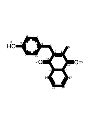 CC1=C(Cc2ccc(O)cc2)C(=O)C2C=CC=CC2C1=O